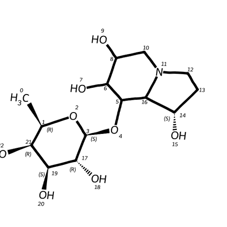 C[C@H]1O[C@@H](OC2C(O)C(O)CN3CC[C@H](O)C23)[C@H](O)[C@@H](O)[C@H]1O